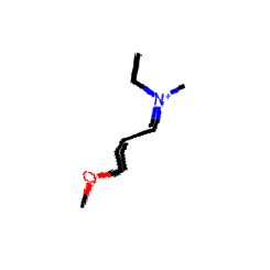 CC/[N+](C)=C\C=C\OC